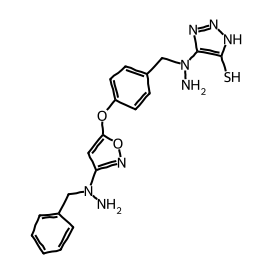 NN(Cc1ccccc1)c1cc(Oc2ccc(CN(N)c3nn[nH]c3S)cc2)on1